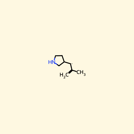 C=C(C)[CH]C1CCNC1